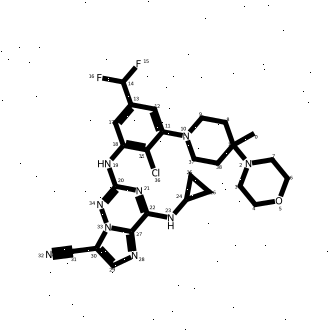 CC1(N2CCOCC2)CCN(c2cc(C(F)F)cc(Nc3nc(NC4CC4)c4ncc(C#N)n4n3)c2Cl)CC1